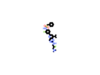 CC(C)c1cc(-c2ccc(NS(=O)(=O)Cc3ccccc3)c(F)c2)nc2cnc(NCC(F)CN(C)C)nc12